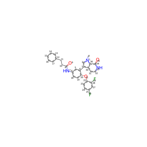 Cn1cc(-c2cc(NC(=O)CCc3ccccc3)ccc2Oc2ccc(F)cc2F)c2cc[nH]c(=O)c21